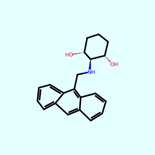 O[C@@H]1CCC[C@H](O)[C@H]1NCc1c2ccccc2cc2ccccc12